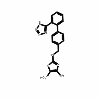 CCCc1nc(NCc2ccc(-c3ccccc3-c3nnn[nH]3)cc2)sc1C(=O)O